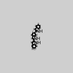 c1ccc2[nH]c(-c3ccc4cc(-c5cc6ccccc6[nH]5)[nH]c4c3)cc2c1